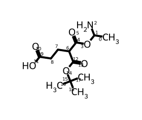 CC(N)OC(=O)C(CCC(=O)O)C(=O)OC(C)(C)C